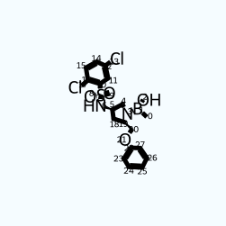 CB(O)N1C[C@H](NS(=O)(=O)c2cc(Cl)ccc2Cl)C[C@@H]1COc1ccccc1